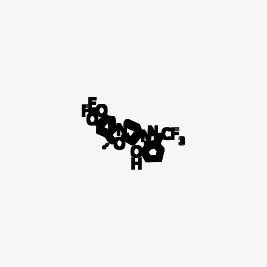 C[C@@H](Oc1cc(-n2nc(C(F)(F)F)c3c2C(O)CCC3)ccn1)c1ccc2c(c1)OC(F)(F)O2